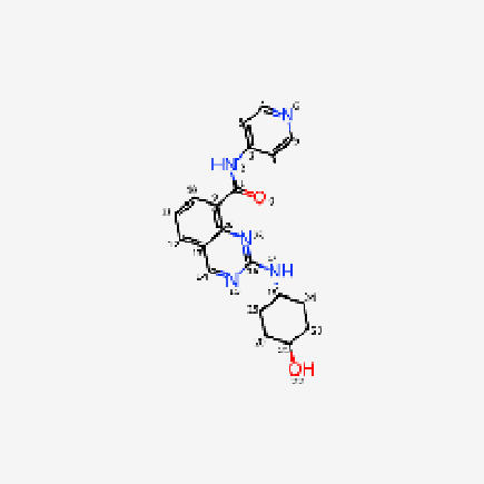 O=C(Nc1ccncc1)c1cccc2cnc(N[C@H]3CC[C@H](O)CC3)nc12